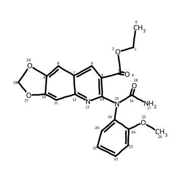 CCOC(=O)c1cc2cc3c(cc2nc1N(C(N)=O)c1ccccc1OC)OCO3